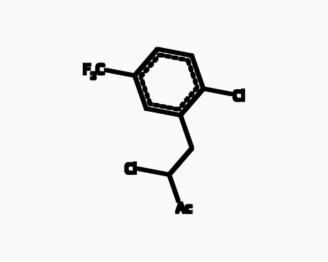 CC(=O)C(Cl)Cc1cc(C(F)(F)F)ccc1Cl